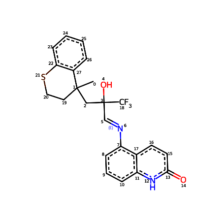 CC1(CC(O)(/C=N/c2cccc3[nH]c(=O)ccc23)C(F)(F)F)CCSc2ccccc21